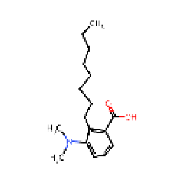 CCCCCCCCc1c(C(=O)O)cccc1N(C)C